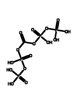 O=C(OP(=O)(O)OP(=O)(O)O)OP(=O)(O)OP(=O)(O)O